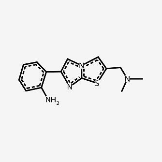 CN(C)Cc1cn2cc(-c3ccccc3N)nc2s1